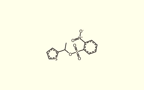 CC(OS(=O)(=O)c1ccccc1[N+](=O)[O-])c1cccs1